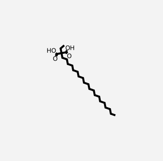 CCCCCCCCCCCCCCCCCCCCC(CC)(C(=O)O)C(=O)O